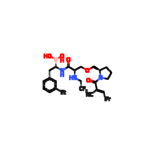 CCc1cccc(CC(NC(=O)C(COC[C@H]2CCCN2C(=O)C(C#N)=CC(C)C)NCC(F)(F)F)B(O)O)c1